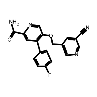 N#Cc1cncc(COc2cnc(C(N)=O)cc2-c2ccc(F)cc2)c1